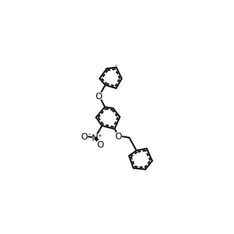 O=[N+]([O-])c1cc(Oc2cc[c]cc2)ccc1OCc1ccccc1